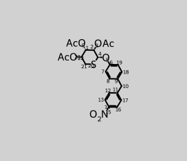 CC(=O)O[C@@H]1[C@@H](OC(C)=O)[C@@H](Oc2ccc(Cc3ccc([N+](=O)[O-])cc3)cc2)SC[C@H]1OC(C)=O